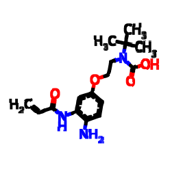 C=CC(=O)Nc1cc(OCCN(C(=O)O)C(C)(C)C)ccc1N